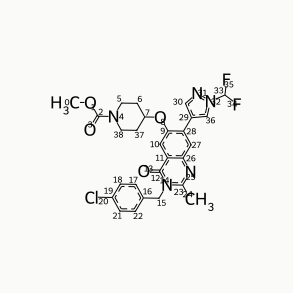 COC(=O)N1CCC(Oc2cc3c(=O)n(Cc4ccc(Cl)cc4)c(C)nc3cc2-c2cnn(C(F)F)c2)CC1